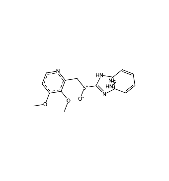 COc1ccnc(C[S+]([O-])C2=NC34C=CC=CC3(N=CN4)N2)c1OC